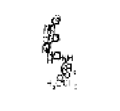 CC(COCC(=O)OC(C)C)NC1CCC(Nc2cc(-c3cccc(NCC4(C#N)CCOCC4)n3)c(Cl)cn2)CC1